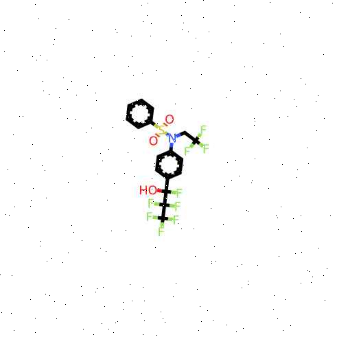 O=S(=O)(c1ccccc1)N(CC(F)(F)F)c1ccc(C(O)(F)C(F)(F)C(F)(F)F)cc1